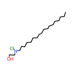 CCCCCCCCCCCCCCCCCCN(Cl)CCO